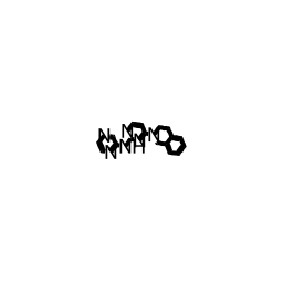 c1ccc2c(c1)CCN(c1ccnc(Nc3cnccn3)n1)C2